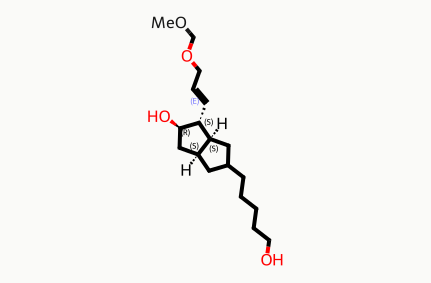 COCOC/C=C/[C@@H]1[C@H]2CC(CCCCCO)C[C@H]2C[C@H]1O